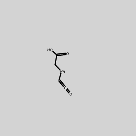 O=C=CNCC(=O)O